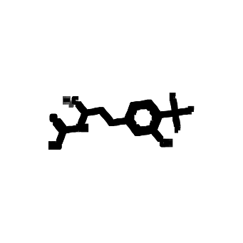 CC(CCc1ccc(C(F)(F)F)c(O)c1)NC(=O)O